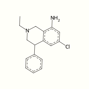 CCN1Cc2c(N)cc(Cl)cc2C(c2ccccc2)C1